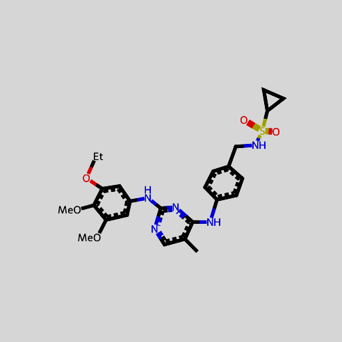 CCOc1cc(Nc2ncc(C)c(Nc3ccc(CNS(=O)(=O)C4CC4)cc3)n2)cc(OC)c1OC